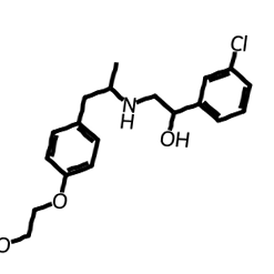 CC(Cc1ccc(OCCO)cc1)NCC(O)c1cccc(Cl)c1